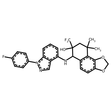 CC1(C)CC(O)(C(F)(F)F)C(Nc2cccc3c2cnn3-c2ccc(F)cc2)c2ccc3c(c21)OCO3